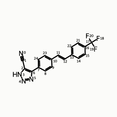 N#Cc1[nH]nnc1-c1ccc(/C=C/c2ccc(C(F)(F)F)cc2)cc1